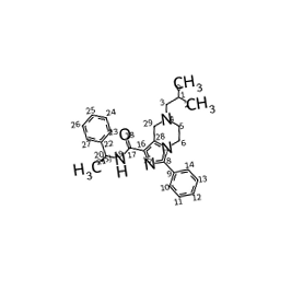 CC(C)CN1CCn2c(-c3ccccc3)nc(C(=O)N[C@@H](C)c3ccccc3)c2C1